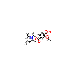 CCOc1cc(C(=O)OC[C@H](CC(C)C)N(CC)CC)ccc1O